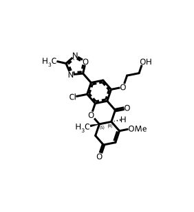 COC1=CC(=O)C[C@]2(C)Oc3c(Cl)c(-c4nc(C)no4)cc(OCCO)c3C(=O)[C@@H]12